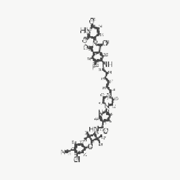 CC1(C)[C@H](NC(=O)c2ccc(N3CCN(CCCCCCNc4cc5c(cc4F)C(=O)N(C4CCC(=O)NC4=O)C5=O)CC3)nc2)C(C)(C)[C@H]1Oc1ccc(C#N)c(Cl)c1